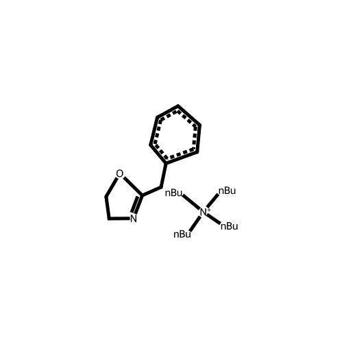 CCCC[N+](CCCC)(CCCC)CCCC.c1ccc(CC2=NCCO2)cc1